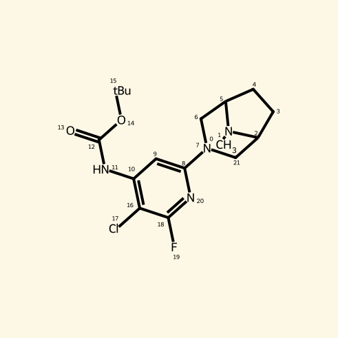 CN1C2CCC1CN(c1cc(NC(=O)OC(C)(C)C)c(Cl)c(F)n1)C2